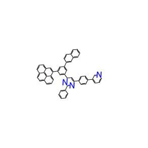 c1ccc(-c2nc(-c3ccc(-c4cccnc4)cc3)cc(-c3cc(-c4ccc5ccccc5c4)cc(-c4cc5cccc6ccc7cccc4c7c65)c3)n2)cc1